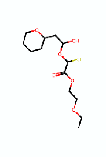 CCOCCOC(=O)C(S)OC(O)CC1CCCCO1